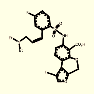 CCN(CC)C/C=C\c1cc(F)ccc1S(=O)(=O)Nc1ccc2c(c1C(=O)O)OCc1occ(F)c1-2